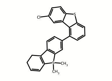 CS1(C)C2=C(CCC=C2)c2ccc(-c3cccc4sc5ccc(Cl)cc5c34)cc21